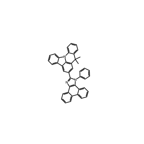 CC1(C)c2ccccc2-n2c3ccccc3c3cc(-c4nc5c6ccccc6c6ccccc6c5n4-c4ccccc4)cc1c32